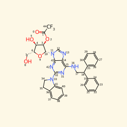 O=C(O[C@@H]1[C@H](O)[C@@H](CO)O[C@H]1n1cnc2c(NCC(c3ccccc3)c3ccccc3)nc(N3CCc4ccccc43)nc21)C(F)(F)F